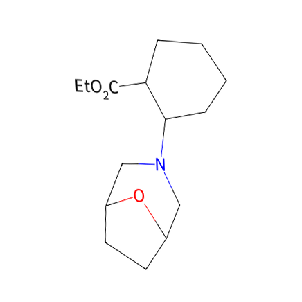 CCOC(=O)C1CCCCC1N1CC2CCC(C1)O2